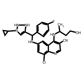 CC(CCO)Nc1c(C#N)cnc2c(Cl)cc(NC(C3=CN(C4CC4)NN3)c3ccc(F)cc3)cc12